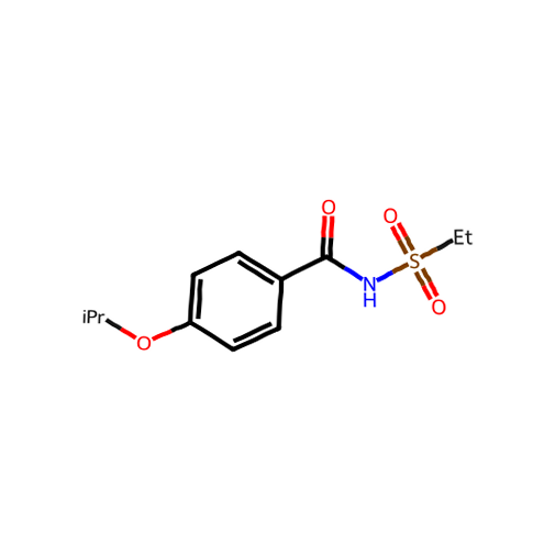 CCS(=O)(=O)NC(=O)c1ccc(OC(C)C)cc1